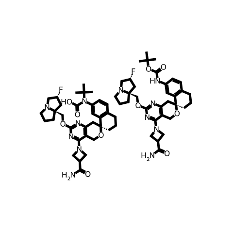 CC(C)(C)N(C(=O)O)c1ccc2c(c1)[C@]1(CCC2)Cc2nc(OC[C@@]34CCCN3C[C@H](F)C4)nc(N3CC(C(N)=O)C3)c2CO1.CC(C)(C)OC(=O)Nc1ccc2c(c1)[C@]1(CCC2)Cc2nc(OC[C@@]34CCCN3C[C@H](F)C4)nc(N3CC(C(N)=O)C3)c2CO1